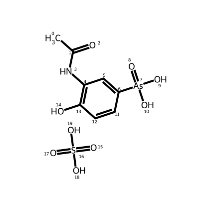 CC(=O)Nc1cc([As](=O)(O)O)ccc1O.O=S(=O)(O)O